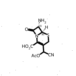 CC(=O)OC(C#N)C1=C(C(=O)O)N2C(=O)[C@H](N)[C@H]2SC1